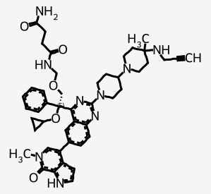 C#CCNC1(C)CCN(C2CCN(c3nc([C@@](COCNC(=O)CCC(N)=O)(OC4CC4)c4ccccc4)c4cc(-c5cn(C)c(=O)c6[nH]ccc56)ccc4n3)CC2)CC1